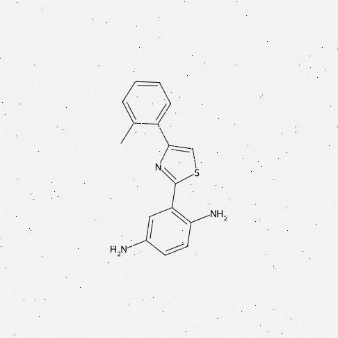 Cc1ccccc1-c1csc(-c2cc(N)ccc2N)n1